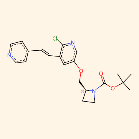 CC(C)(C)OC(=O)N1CC[C@H]1COc1cnc(Cl)c(C=Cc2ccncc2)c1